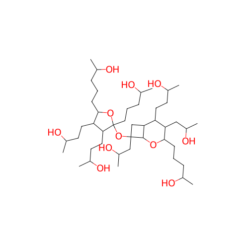 CC(O)CCCC1OC2C(CC2(CC(C)O)OC2(CCCC(C)O)OC(CCCC(C)O)C(CCC(C)O)C2CCC(C)O)C(CCC(C)O)C1CC(C)O